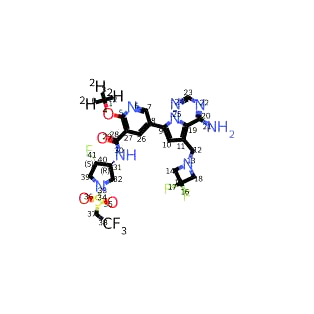 [2H]C([2H])([2H])Oc1ncc(-c2cc(CN3CC(F)(F)C3)c3c(N)ncnn23)cc1C(=O)N[C@@H]1CN(S(=O)(=O)CC(F)(F)F)C[C@@H]1F